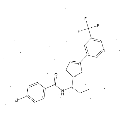 CCC(NC(=O)c1ccc(Cl)cc1)C1CC=C(c2cncc(C(F)(F)F)c2)C1